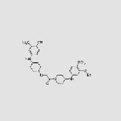 CCOc1cc(NC2CCN(C(=O)COC3CCC(Nc4ccc(C#N)c(C)c4)CC3)CC2)ccc1[N+](=O)[O-]